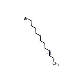 C=C/C=C/CCCCCCCCBr